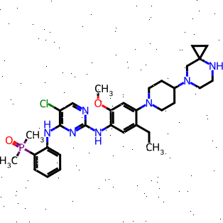 CCc1cc(Nc2ncc(Cl)c(Nc3ccccc3P(C)(C)=O)n2)c(OC)cc1N1CCC(N2CCNC3(CC3)C2)CC1